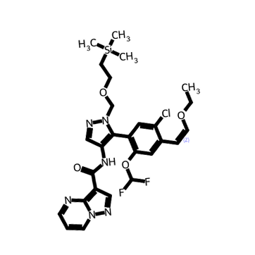 CCO/C=C\c1cc(OC(F)F)c(-c2c(NC(=O)c3cnn4cccnc34)cnn2COCC[Si](C)(C)C)cc1Cl